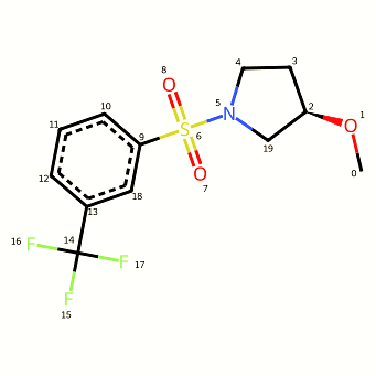 CO[C@@H]1CCN(S(=O)(=O)c2cccc(C(F)(F)F)c2)C1